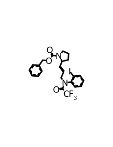 O=C(OCc1ccccc1)N1CCCC1C=CCN(C(=O)C(F)(F)F)c1ccccc1I